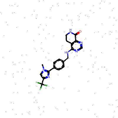 Cn1cc(C(F)(F)F)nc1-c1ccc(CNc2ncnc3c2CCNC3=O)cc1